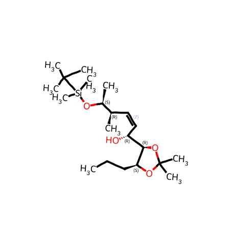 CCC[C@@H]1OC(C)(C)O[C@@H]1[C@H](O)/C=C\[C@@H](C)[C@H](C)O[Si](C)(C)C(C)(C)C